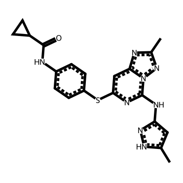 Cc1nc2cc(Sc3ccc(NC(=O)C4CC4)cc3)nc(Nc3cc(C)[nH]n3)n2n1